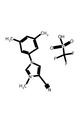 Cc1cc(C)cc(-n2cc(C#N)[n+](C)c2)c1.O=S(=O)(O)C(F)(F)F